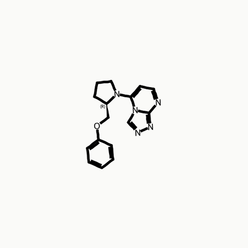 c1ccc(OC[C@H]2CCCN2c2ccnc3nncn23)cc1